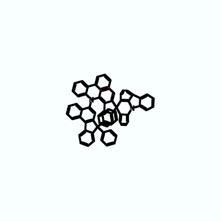 c1ccc(-c2ccccc2N(c2cccc3c2-c2ccccc2C32c3ccccc3-n3c4ccccc4c4cccc2c43)c2cc3c(c4ccccc24)-c2ccccc2C3(c2ccccc2)c2ccccc2)cc1